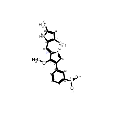 COC1=C(c2cccc([N+](=O)[O-])c2)C=N/C1=C\c1[nH]c(C)cc1C